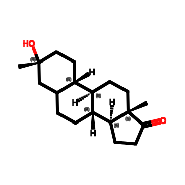 C[C@@]1(O)CC[C@H]2C(CC[C@@H]3[C@@H]2CC[C@]2(C)C(=O)CC[C@@H]32)C1